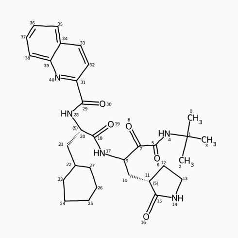 CC(C)(C)NC(=O)C(=O)C(C[C@@H]1CCNC1=O)NC(=O)[C@H](CC1CCCCC1)NC(=O)c1ccc2ccccc2n1